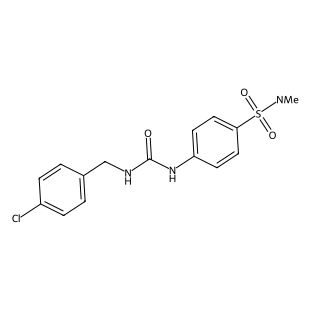 CNS(=O)(=O)c1ccc(NC(=O)NCc2ccc(Cl)cc2)cc1